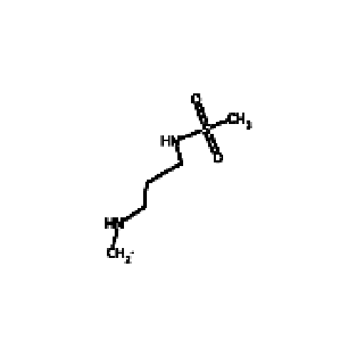 [CH2]NCCCNS(C)(=O)=O